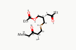 CCC(=O)C[C@@H](COC(=O)CC)CSC[C@H](C)C(=O)CNC